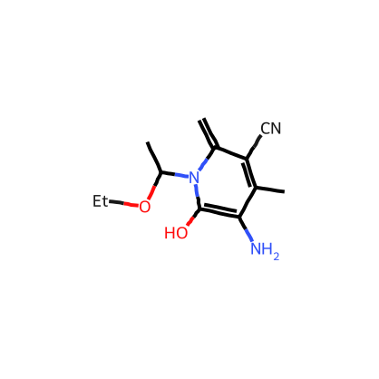 C=C1C(C#N)=C(C)C(N)=C(O)N1C(C)OCC